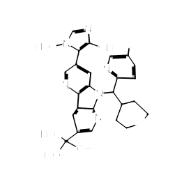 Cc1ncn(C)c1-c1cnc2c3cc(C(C)(C)O)cnc3n(C(c3ccc(Cl)cn3)C3CCOCC3)c2c1